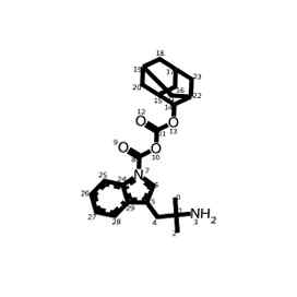 CC(C)(N)Cc1cn(C(=O)OC(=O)OC2C3CC4CC(C3)CC2C4)c2ccccc12